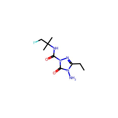 CCc1nn(C(=O)NC(C)(C)CF)c(=O)n1N